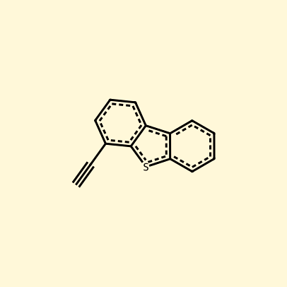 C#Cc1cccc2c1sc1ccccc12